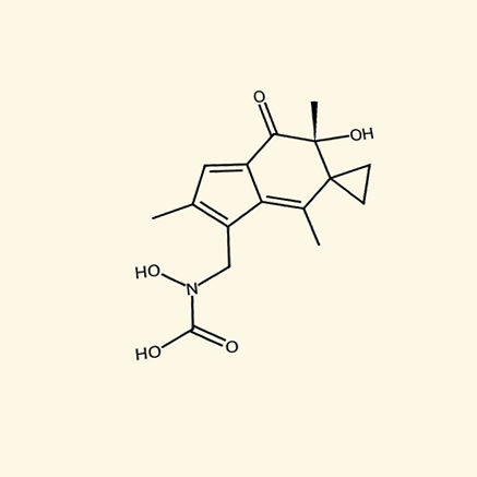 CC1=C(CN(O)C(=O)O)C2=C(C)C3(CC3)[C@@](C)(O)C(=O)C2=C1